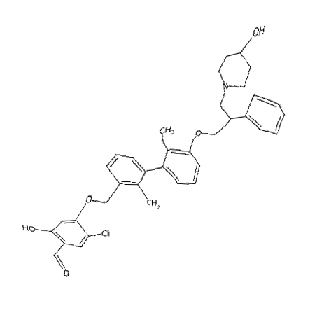 Cc1c(COc2cc(O)c(C=O)cc2Cl)cccc1-c1cccc(OCC(CN2CCC(O)CC2)c2ccccc2)c1C